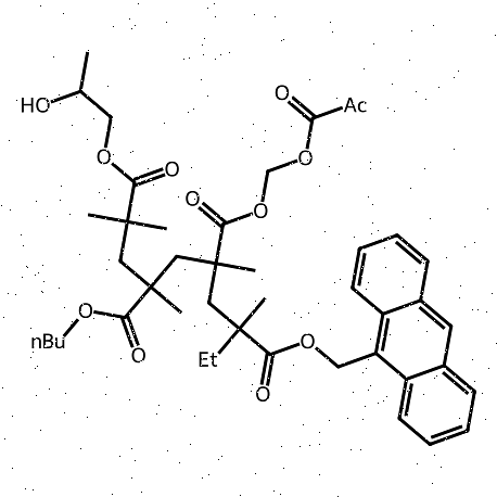 CCCCOC(=O)C(C)(CC(C)(C)C(=O)OCC(C)O)CC(C)(CC(C)(CC)C(=O)OCc1c2ccccc2cc2ccccc12)C(=O)OCOC(=O)C(C)=O